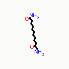 NCC(=O)CCCCCCCCCC(N)=O